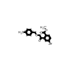 COC(=O)c1ccc(Br)cc1C(=O)COCc1ccc(C)cc1